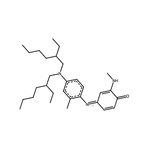 CCCCC(CC)CN(CC(CC)CCCC)c1ccc(/N=C2/C=CC(=O)C(NC)=C2)c(C)c1